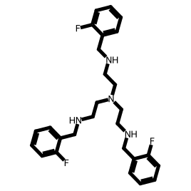 Fc1ccccc1CNCCN(CCNCc1ccccc1F)CCNCc1ccccc1F